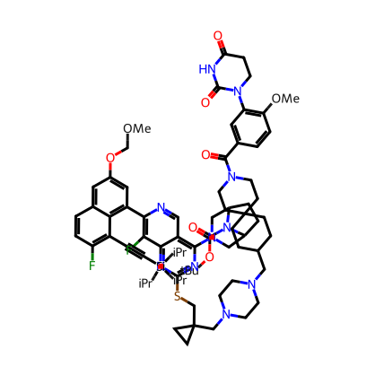 COCOc1cc(-c2ncc3c(N4CC5CCC(C4)N5C(=O)OC(C)(C)C)nc(SCC4(CN5CCN(CC6CCC7(CC6)CCN(C(=O)c6ccc(OC)c(N8CCC(=O)NC8=O)c6)CC7)CC5)CC4)nc3c2F)c2c(C#C[Si](C(C)C)(C(C)C)C(C)C)c(F)ccc2c1